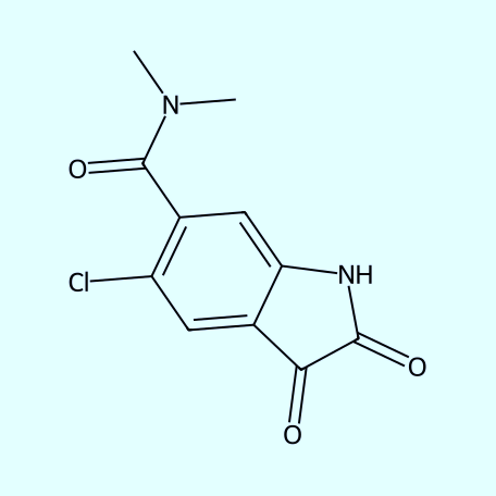 CN(C)C(=O)c1cc2c(cc1Cl)C(=O)C(=O)N2